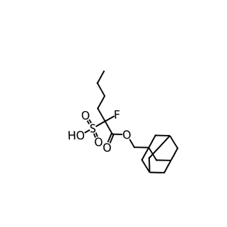 CCCCC(F)(C(=O)OCC12CC3CC(CC(C3)C1)C2)S(=O)(=O)O